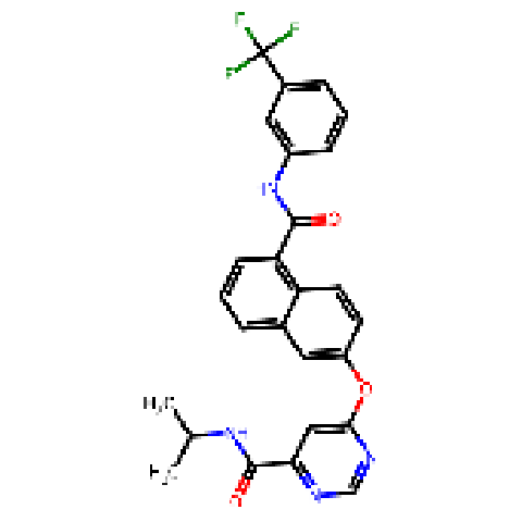 CC(C)NC(=O)c1cc(Oc2ccc3c(C(=O)Nc4cccc(C(F)(F)F)c4)cccc3c2)ncn1